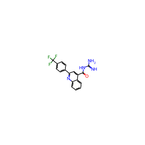 N=C(N)NC(=O)c1cc(-c2ccc(C(F)(F)F)cc2)nc2ccccc12